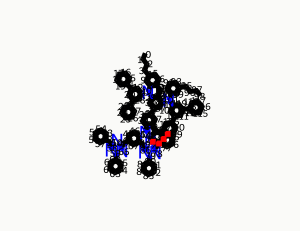 CCCCc1ccc2c(c1)N(c1cc(-c3ccccc3)cc(-c3ccccc3)c1)c1cc(-c3ccc4c(c3)c3ccccc3n4-c3ccc(-c4nc(-c5ccccc5)nc(-c5ccccc5)n4)cc3-c3nc(-c4ccccc4)nc(-c4ccccc4)n3)cc3c1B2c1ccc(CCCC)cc1N3c1cc(-c2ccccc2)cc(-c2ccccc2)c1